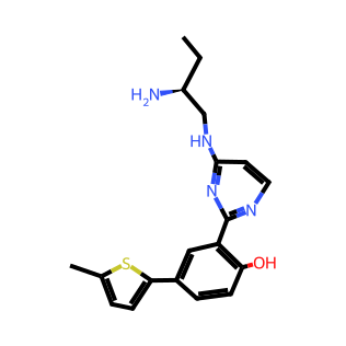 CC[C@H](N)CNc1ccnc(-c2cc(-c3ccc(C)s3)ccc2O)n1